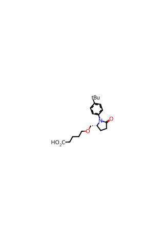 CC(C)(C)c1ccc(N2C(=O)CC[C@@H]2COCCCCC(=O)O)cc1